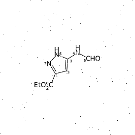 CCOC(=O)c1cc(NC=O)[nH]n1